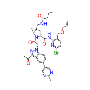 C=CCOCc1ccc(Br)nc1NC(=O)[C@@H]1CC2(CNC(=O)CCC)CC2N1C(=O)Cn1nc(C(C)=O)c2cc(-c3cnc(C)nc3)ccc21